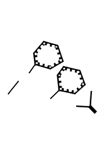 CC.CC(=O)O.Oc1ccccc1.Oc1ccccc1